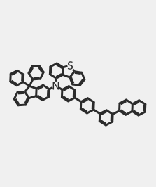 c1ccc(C2(c3ccccc3)c3ccccc3-c3ccc(N(c4ccc(-c5ccc(-c6cccc(-c7ccc8ccccc8c7)c6)cc5)cc4)c4cccc5sc6ccccc6c45)cc32)cc1